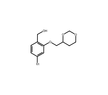 CCc1ccc(CO)c(OCC2CCOCO2)c1